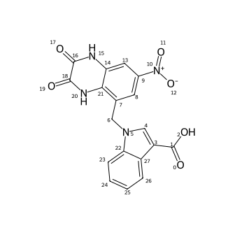 O=C(O)c1cn(Cc2cc([N+](=O)[O-])cc3[nH]c(=O)c(=O)[nH]c23)c2ccccc12